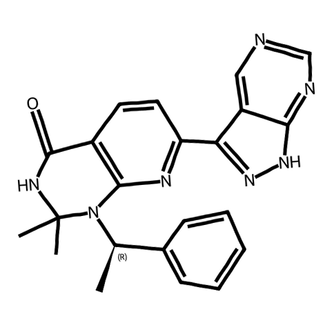 C[C@H](c1ccccc1)N1c2nc(-c3n[nH]c4ncncc34)ccc2C(=O)NC1(C)C